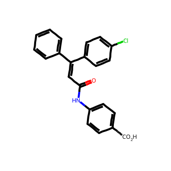 O=C(C=C(c1ccccc1)c1ccc(Cl)cc1)Nc1ccc(C(=O)O)cc1